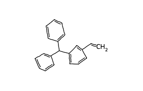 C=Cc1cccc(C(c2ccccc2)c2ccccc2)c1